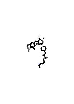 C/C=C\C=C/CNC(=O)CC1CCN(C(=O)NC(Cc2cc(C)c3[nH]ncc3c2)C(=O)OC)CC1